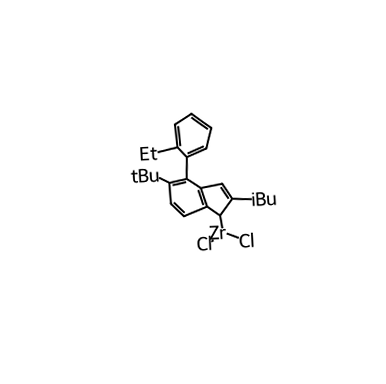 CCc1ccccc1-c1c(C(C)(C)C)ccc2c1C=C(C(C)CC)[CH]2[Zr]([Cl])[Cl]